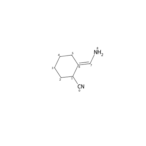 N#CC1CCCCC1=CN